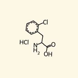 Cl.NC(Cc1ccccc1Cl)C(=O)O